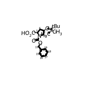 CC(C)(C)[Si](C)(C)O[C@@H]1C[C@H](C(=O)O)N(C(=O)OCc2ccccc2)C1